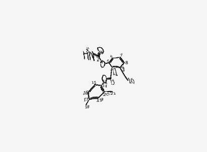 CNC(=O)Oc1cccc(C)c1COc1ccc(C)cc1C